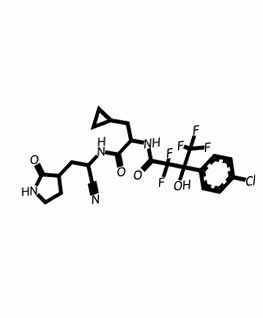 N#CC(CC1CCNC1=O)NC(=O)C(CC1CC1)NC(=O)C(F)(F)C(O)(c1ccc(Cl)cc1)C(F)(F)F